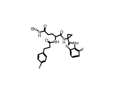 CC(C)(C)NC(=O)CCC(NC(=O)CCc1ccc(F)cc1)C(=O)NC1(c2nc3cccc(F)c3[nH]2)CC1